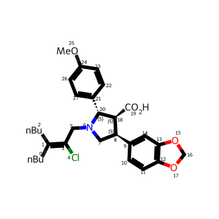 CCCCC(CCCC)=C(Cl)CN1C[C@H](c2ccc3c(c2)OCO3)[C@H](C(=O)O)[C@H]1c1ccc(OC)cc1